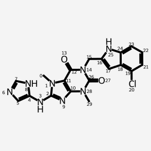 Cn1c(Nc2cnc[nH]2)nc2c1c(=O)n(Cc1cc3c(Cl)cccc3[nH]1)c(=O)n2C